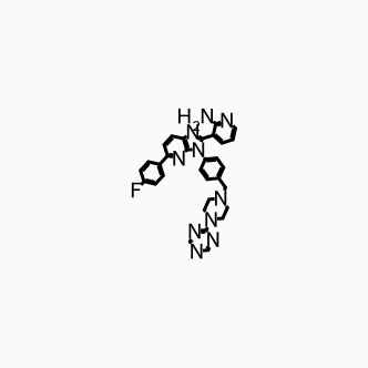 Nc1ncccc1-c1nc2ccc(-c3ccc(F)cc3)nc2n1-c1ccc(CN2CCN(c3ncncn3)CC2)cc1